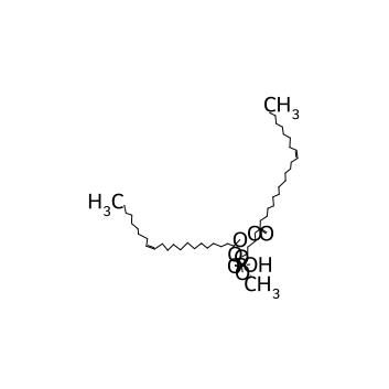 CCCCCCCC/C=C\CCCCCCCCCCCC(=O)OCC(COP(=O)(O)OCC)OC(=O)CCCCCCCCCCC/C=C\CCCCCCCC